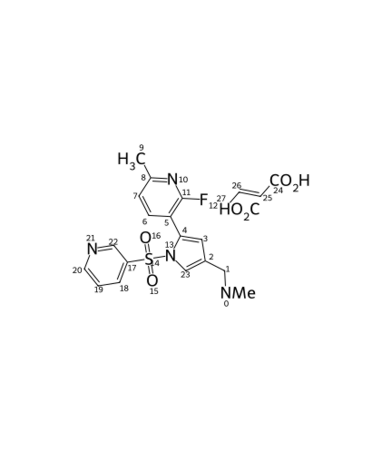 CNCc1cc(-c2ccc(C)nc2F)n(S(=O)(=O)c2cccnc2)c1.O=C(O)C=CC(=O)O